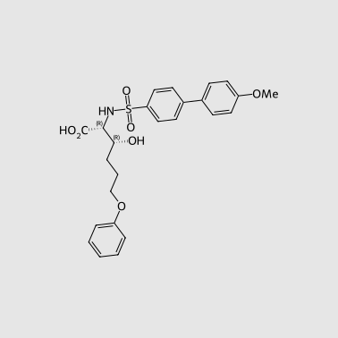 COc1ccc(-c2ccc(S(=O)(=O)N[C@@H](C(=O)O)[C@H](O)CCCOc3ccccc3)cc2)cc1